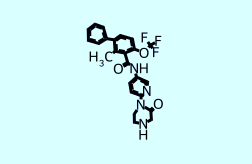 Cc1c(-c2ccccc2)ccc(OC(F)(F)F)c1C(=O)Nc1ccc(N2CCNCC2=O)nc1